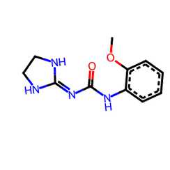 COc1ccccc1NC(=O)N=C1NCCN1